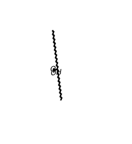 CCCCCCCCCCCCCCCCCCCCC(CCCCCCCCCCCCCCCC)C(=O)O